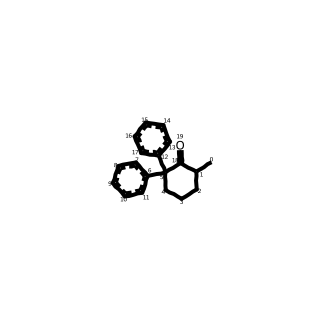 CC1CCCC(c2ccccc2)(c2ccccc2)C1=O